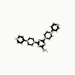 Nc1nc(N2CCN(c3ccncc3)CC2)nc(N2CCN(c3ccncc3)CC2)n1